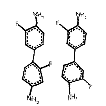 Nc1ccc(-c2ccc(N)c(F)c2)c(F)c1.Nc1ccc(-c2ccc(N)c(F)c2)cc1F